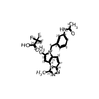 CC(=O)Nc1cccc(Cn2c(C)cc3c2ccc2nnc(C)n23)c1.O=C(O)C(F)(F)F